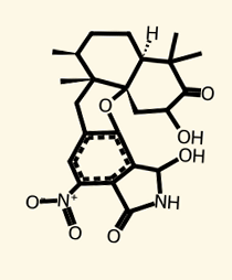 C[C@H]1CC[C@H]2C(C)(C)C(=O)C(O)C[C@]23Oc2c(cc([N+](=O)[O-])c4c2C(O)NC4=O)C[C@]13C